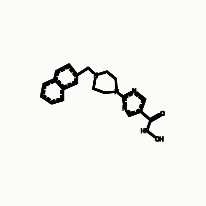 O=C(NO)c1cnc(N2CCN(Cc3ccc4ccccc4c3)CC2)nc1